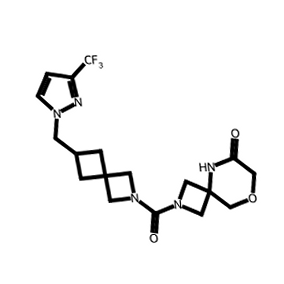 O=C1COCC2(CN(C(=O)N3CC4(CC(Cn5ccc(C(F)(F)F)n5)C4)C3)C2)N1